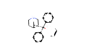 O=C(O)/C=C\C(=O)O.OC(c1ccccc1)(c1ccccc1)C1CN2CCC1CC2